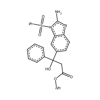 CCCOC(=O)CC(O)(c1ccccc1)c1ccc2nc(N)n(S(=O)(=O)C(C)C)c2c1